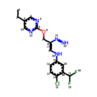 CCc1cnc(OC/C(=C/Nc2ccc(Cl)c(C(F)F)c2)N=N)nc1